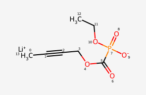 CC#CCOC(=O)P(=O)([O-])OCC.[Li+]